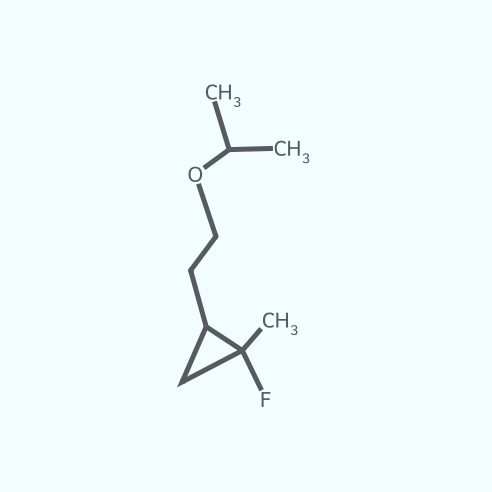 CC(C)OCCC1CC1(C)F